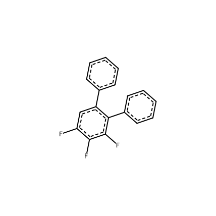 Fc1cc(-c2ccccc2)c(-c2ccccc2)c(F)c1F